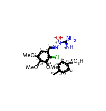 COc1cc(/C=N/N(O)C(=N)N)c(Cl)c(OC)c1OC.Cc1ccc(S(=O)(=O)O)cc1